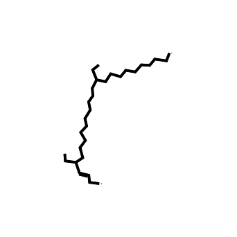 [CH2]CC=CC(CC)CCCCCCCCCCC(CC)CCCCCCCCC[CH2]